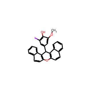 COc1cc(C2c3c(ccc4ccccc34)Oc3ccc4ccccc4c32)cc(I)c1O